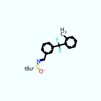 Cc1ccccc1C(F)(F)c1cccc(/C=N/[S@+]([O-])C(C)(C)C)c1